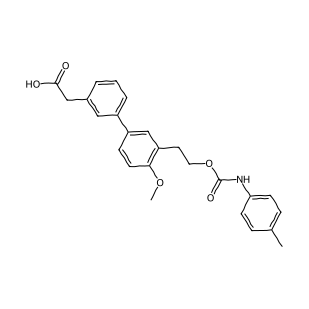 COc1ccc(-c2cccc(CC(=O)O)c2)cc1CCOC(=O)Nc1ccc(C)cc1